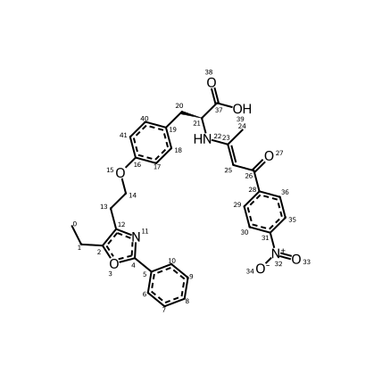 CCc1oc(-c2ccccc2)nc1CCOc1ccc(C[C@H](N/C(C)=C/C(=O)c2ccc([N+](=O)[O-])cc2)C(=O)O)cc1